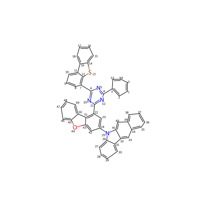 c1ccc(-c2nc(-c3cccc4c3sc3ccccc34)nc(-c3cc(-n4c5ccccc5c5cc6ccccc6cc54)cc4oc5ccccc5c34)n2)cc1